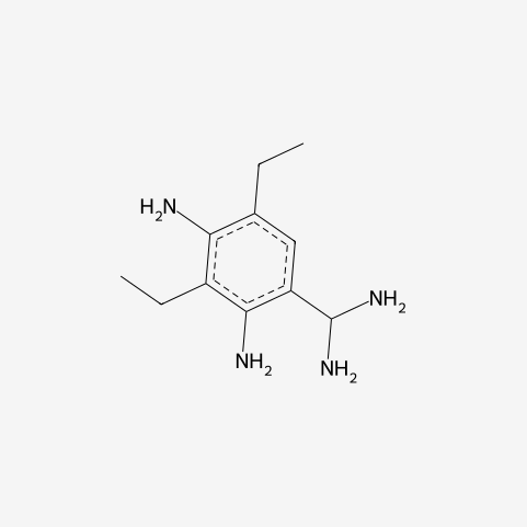 CCc1cc(C(N)N)c(N)c(CC)c1N